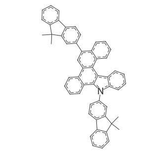 CC1(C)c2ccccc2-c2ccc(-c3cc4c5ccccc5c5c(c6ccccc6n5-c5ccc6c(c5)C(C)(C)c5ccccc5-6)c4c4ccccc34)cc21